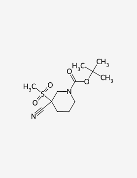 CC(C)(C)OC(=O)N1CCCC(C#N)(S(C)(=O)=O)C1